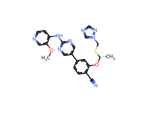 COc1cnccc1Nc1ncc(-c2ccc(C#N)c(O[C@@H](C)SCn3cncn3)c2)cn1